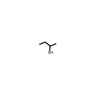 CC[C](C)O